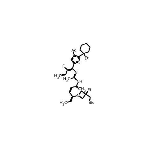 C=C/C(F)=C(\N=C(/C)NC(=C)/C=C\C(=C/C)N1CC(CC)(CC(C)CC)C1)c1cc(C(C)=O)c(C2(CC)CCCCC2)s1